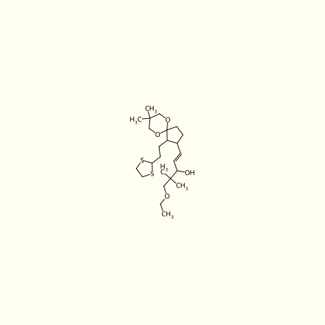 CCOCC(C)(C)C(O)C=CC1CCC2(OCC(C)(C)CO2)C1CCC1SCCS1